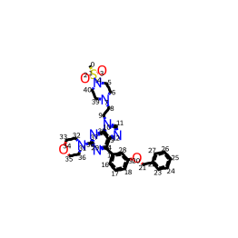 CS(=O)(=O)N1CCN(CCn2cnc3c(-c4cccc(OCc5ccccc5)c4)nc(N4CCOCC4)nc32)CC1